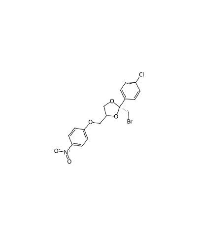 O=[N+]([O-])c1ccc(OCC2CO[C@@](CBr)(c3ccc(Cl)cc3)O2)cc1